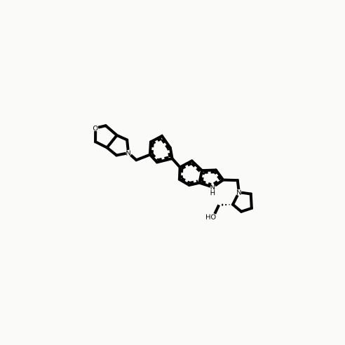 OC[C@H]1CCCN1Cc1cc2cc(-c3cccc(CN4CC5COCC5C4)c3)ccc2[nH]1